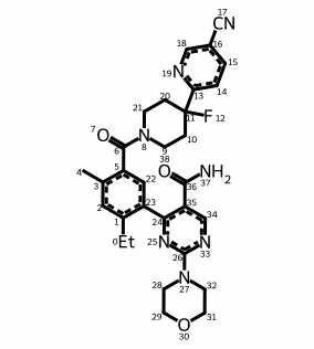 CCc1cc(C)c(C(=O)N2CCC(F)(c3ccc(C#N)cn3)CC2)cc1-c1nc(N2CCOCC2)ncc1C(N)=O